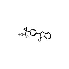 O=C1c2ccccc2CN1c1ccc(C2(C(=O)O)CC2)cc1